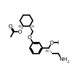 CC(=O)O[C@@H]1CCCC[C@H]1COc1cccc([C@@H](CCN)OI)c1